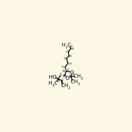 C=C[C@](C)(O)C[C@H]1OC(C)(C)O[C@@H]1CCCCCCC